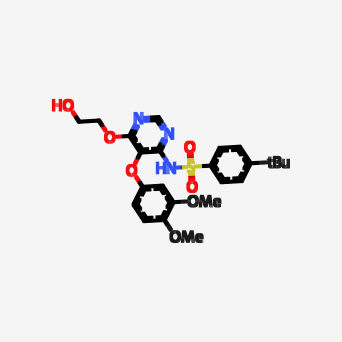 COc1ccc(Oc2c(NS(=O)(=O)c3ccc(C(C)(C)C)cc3)ncnc2OCCO)cc1OC